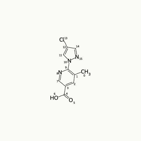 Cc1cc(C(=O)O)cnc1-n1cc(Cl)cn1